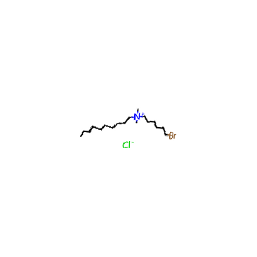 CCCCCCCCCC[N+](C)(C)CCCCCCBr.[Cl-]